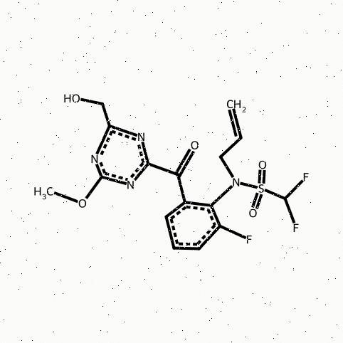 C=CCN(c1c(F)cccc1C(=O)c1nc(CO)nc(OC)n1)S(=O)(=O)C(F)F